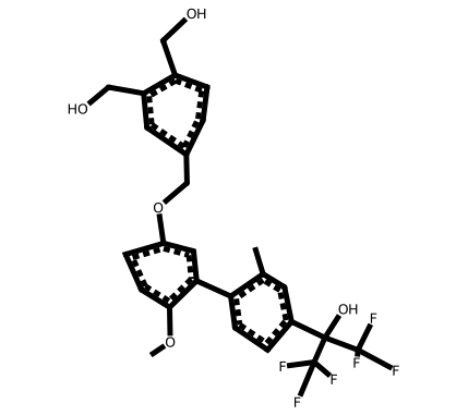 COc1ccc(OCc2ccc(CO)c(CO)c2)cc1-c1ccc(C(O)(C(F)(F)F)C(F)(F)F)cc1C